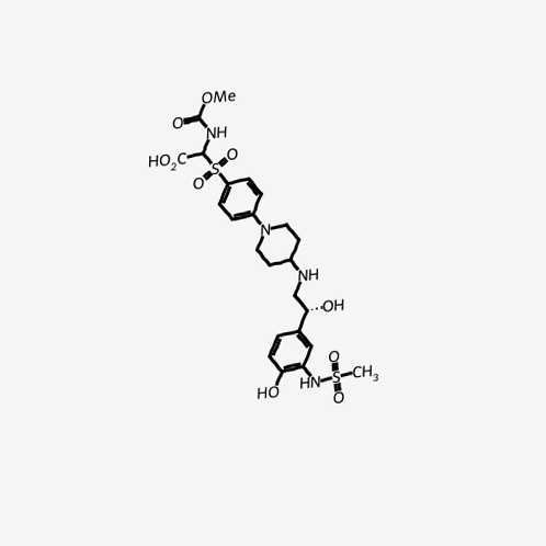 COC(=O)NC(C(=O)O)S(=O)(=O)c1ccc(N2CCC(NC[C@H](O)c3ccc(O)c(NS(C)(=O)=O)c3)CC2)cc1